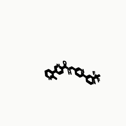 Cc1ncccc1-c1ccc(C(=O)NCc2ccc(-c3ccnc(C(C)(F)F)c3)nc2)nc1